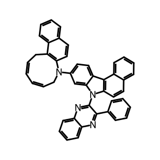 C1=C\Cc2c(ccc3ccccc23)N(c2ccc3c4c5ccccc5ccc4n(-c4nc5ccccc5nc4-c4ccccc4)c3c2)C\C=C/1